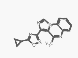 Cc1nc2ccccc2n2cnc(-c3noc(C4CC4)n3)c12